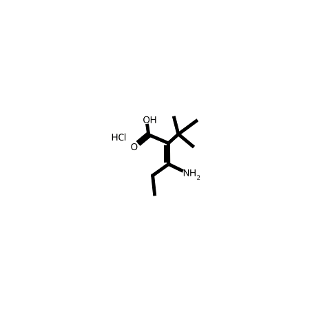 CCC(N)=C(C(=O)O)C(C)(C)C.Cl